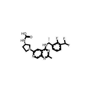 Cc1nc(N[C@H](C)c2cccc(C(F)F)c2F)c2cc(N3CC[C@@H](NC(=O)O)C3)ncc2n1